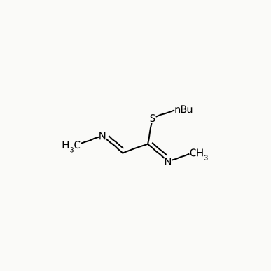 CCCCSC(/C=N/C)=N\C